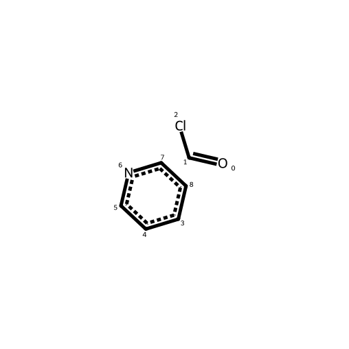 O=CCl.c1ccncc1